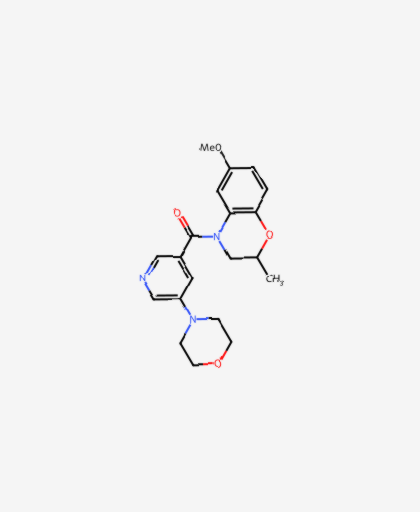 COc1ccc2c(c1)N(C(=O)c1cncc(N3CCOCC3)c1)CC(C)O2